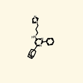 c1ccc(-c2nc(NCCCn3ccnc3)cc(C34CC5CC(C3)C(C5)C4)n2)cc1